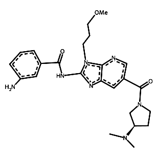 COCCCn1c(NC(=O)c2cccc(N)c2)nc2cc(C(=O)N3CC[C@@H](N(C)C)C3)cnc21